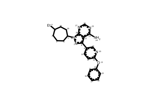 CCC1CCCC(n2nc(-c3ccc(Oc4ccccc4)nc3)c3c(N)ncnc32)CC1